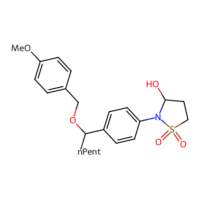 CCCCCC(OCc1ccc(OC)cc1)c1ccc(N2C(O)CCS2(=O)=O)cc1